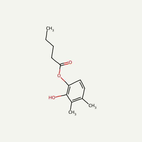 CCCCC(=O)Oc1ccc(C)c(C)c1O